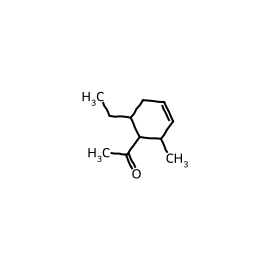 CCC1CC=CC(C)C1C(C)=O